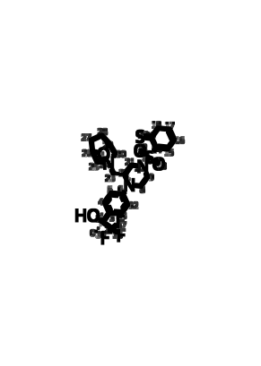 C[C@](O)(c1ccc(N2CCN(S(=O)(=O)C3=CC=CCC3=S)C[C@@H]2CN2CC3CCC(C2)O3)cc1)C(F)(F)F